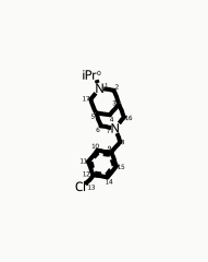 CC(C)N1CC2CC(CN(Cc3ccc(Cl)cc3)C2)C1